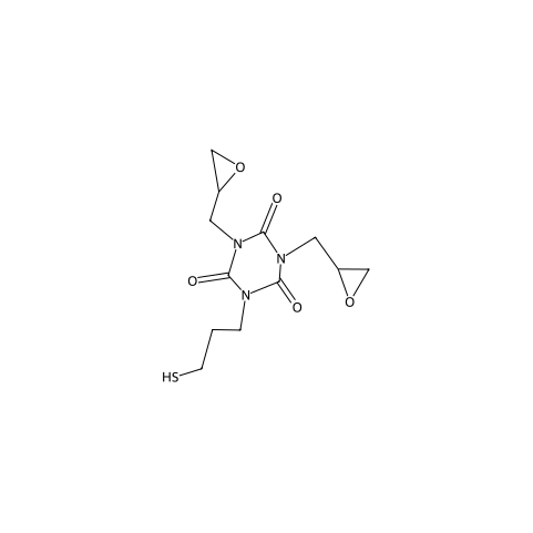 O=c1n(CCCS)c(=O)n(CC2CO2)c(=O)n1CC1CO1